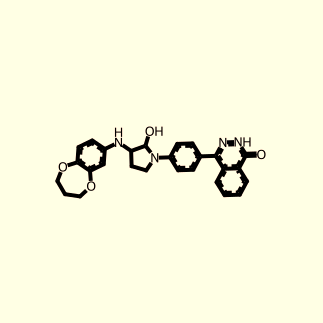 O=c1[nH]nc(-c2ccc(N3CCC(Nc4ccc5c(c4)OCCCO5)C3O)cc2)c2ccccc12